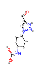 O=Cc1cn(C2CCC(NC(=O)O)CC2)nn1